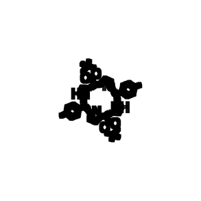 Cc1ccc(-c2c3nc(c(C4OCC(C)(C)CO4)c4ccc([nH]4)c(-c4ccc(C)cc4)c4nc(c(C5OCC(C)(C)CO5)c5ccc2[nH]5)C=C4)C=C3)cc1